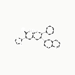 O=c1[nH]c2nc(-c3ccccc3)c(-c3ccc4ncccc4c3)cc2cc1-c1ncco1